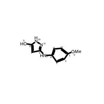 COc1ccc(Nc2cc(O)[nH]n2)cc1